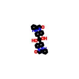 O=C1CCC2(c3ccccc3)Nc3ccc(C4C(O)C(c5ccc6c7c(cccc57)N5C(=O)CCC5(c5ccccc5)N6)C4O)c4cccc(c34)N12